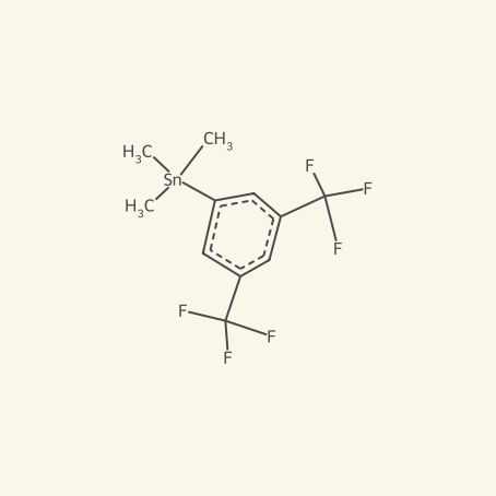 [CH3][Sn]([CH3])([CH3])[c]1cc(C(F)(F)F)cc(C(F)(F)F)c1